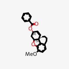 COc1ccc2c3c1OC1C[C@@H](OC(=O)c4ccccc4)C=C[C@@]31CCCC2